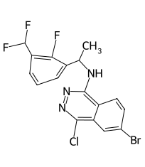 CC(Nc1nnc(Cl)c2cc(Br)ccc12)c1cccc(C(F)F)c1F